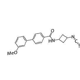 COc1cccc(-c2ccc(C(=O)NC3CC(N=C=S)C3)cc2)c1